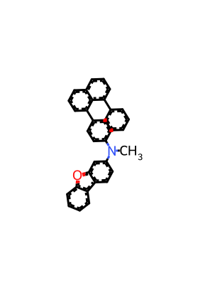 CN(c1ccc(-c2cccc3cccc(-c4ccccc4)c23)cc1)c1ccc2c(c1)oc1ccccc12